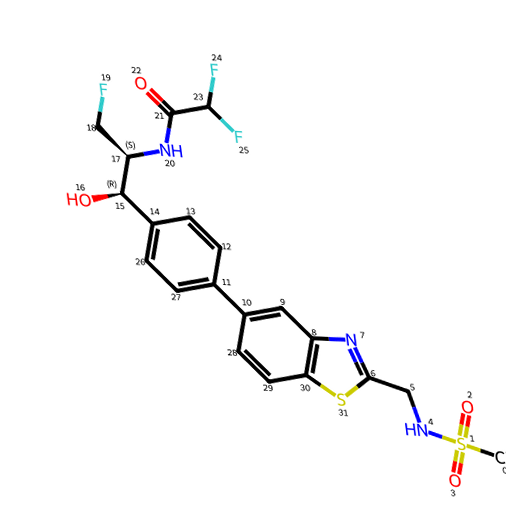 CS(=O)(=O)NCc1nc2cc(-c3ccc([C@@H](O)[C@@H](CF)NC(=O)C(F)F)cc3)ccc2s1